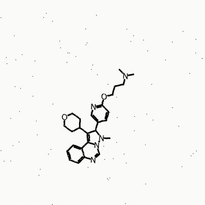 CN(C)CCCOc1ccc(C2C(C3CCOCC3)=C3c4ccccc4N=CN3N2C)cn1